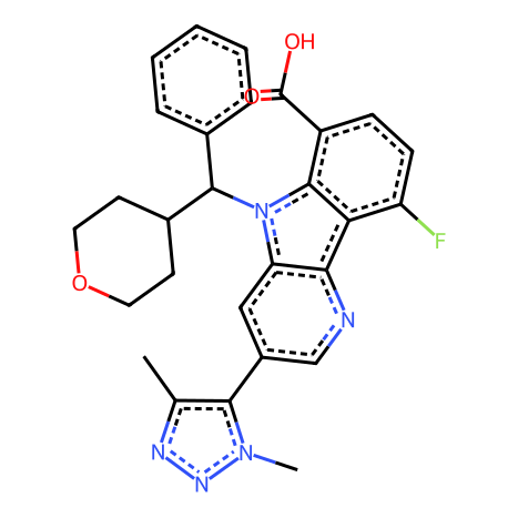 Cc1nnn(C)c1-c1cnc2c3c(F)ccc(C(=O)O)c3n(C(c3ccccc3)C3CCOCC3)c2c1